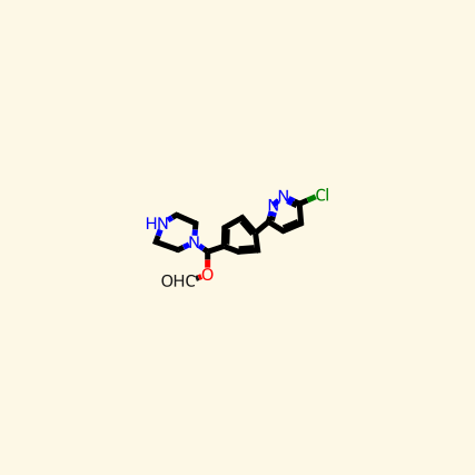 O=COC(c1ccc(-c2ccc(Cl)nn2)cc1)N1CCNCC1